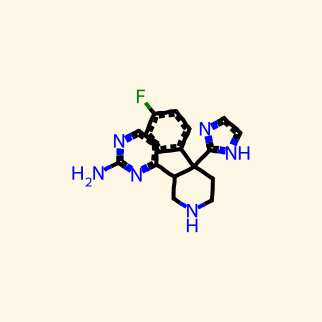 Nc1nccc(C2CNCCC2(c2ccc(F)cc2)c2ncc[nH]2)n1